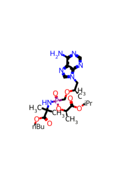 CCCCOC(=O)C(C)(C)NP(=O)(CO[C@H](C)Cn1cnc2c(N)ncnc21)O[C@H](C)C(=O)OC(C)C